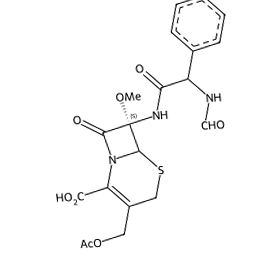 CO[C@@]1(NC(=O)C(NC=O)c2ccccc2)C(=O)N2C(C(=O)O)=C(COC(C)=O)CSC21